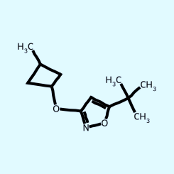 CC1CC(Oc2cc(C(C)(C)C)on2)C1